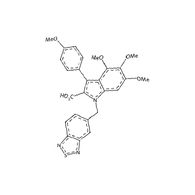 COc1ccc(-c2c(C(=O)O)n(Cc3ccc4nsnc4c3)c3cc(OC)c(OC)c(OC)c23)cc1